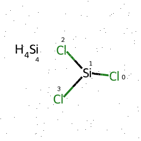 Cl[Si](Cl)Cl.[SiH4]